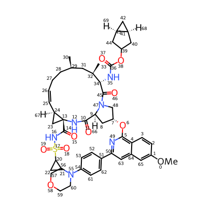 COc1ccc2c(O[C@@H]3C[C@H]4C(=O)N[C@]5(C(=O)NS(=O)(=O)C6CC6)C[C@H]5/C=C\CC[C@@H](C)C[C@@H](C)[C@H](NC(=O)OC5C[C@@H]6C[C@@H]6C5)C(=O)N4C3)nc(-c3ccc(N4CCOCC4)cc3)cc2c1